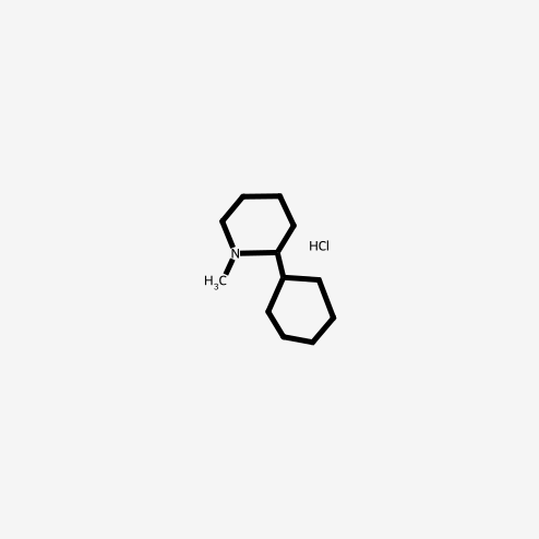 CN1CCCCC1C1CCCCC1.Cl